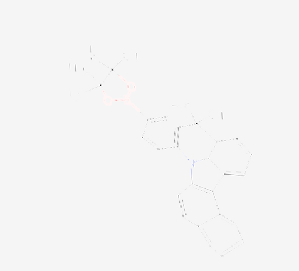 CC1(C)c2cc(B3OC(C)(C)C(C)(C)O3)ccc2N2c3ccc4ccccc4c3C3=CC=CC1C32